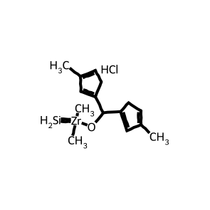 CC1=CCC(C([O][Zr]([CH3])([CH3])=[SiH2])C2=CC(C)=CC2)=C1.Cl